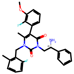 COc1cccc(-c2c(C)n(Cc3c(C)cccc3F)c(=O)n(C[C@H](N)c3ccccc3)c2=O)c1F